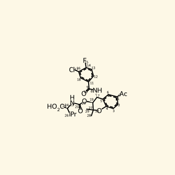 CC(=O)c1ccc2c(c1)[C@@H](NC(=O)c1ccc(F)c(Cl)c1)[C@H](OC(=O)N[C@H](C(=O)O)C(C)C)C(C)(C)O2